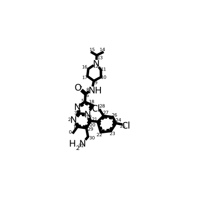 Cc1nc2nc(C(=O)NC3CCN(C(C)C)CC3)cn2c(-c2ccc(Cl)cc2Cl)c1CN